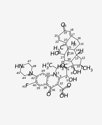 CCn1c(C(O)C(=O)[C@@]2(O)[C@H](C)C[C@H]3[C@@H]4CCC5=CC(=O)C=C[C@]5(C)C4(F)C(O)C[C@@]32C)c(C(=O)O)c(=O)c2cc(F)c(N3CCNCC3)cc21